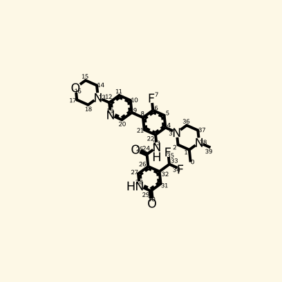 CC1CN(c2cc(F)c(-c3ccc(N4CCOCC4)nc3)cc2NC(=O)c2c[nH]c(=O)cc2C(F)F)CCN1C